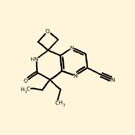 CCC1(CC)C(=O)NC2(COC2)c2ncc(C#N)nc21